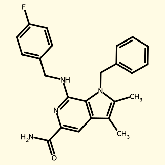 Cc1c(C)n(Cc2ccccc2)c2c(NCc3ccc(F)cc3)nc(C(N)=O)cc12